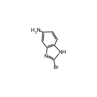 Nc1ccc2[nH]c(Br)nc2c1